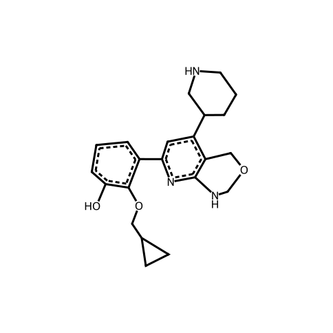 Oc1cccc(-c2cc(C3CCCNC3)c3c(n2)NCOC3)c1OCC1CC1